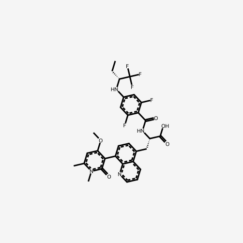 CC[C@@H](Nc1cc(F)c(C(=O)N[C@@H](Cc2ccc(-c3c(OC)cc(C)n(C)c3=O)c3ncccc23)C(=O)O)c(F)c1)C(F)(F)F